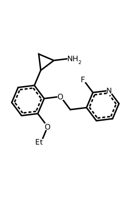 CCOc1cccc(C2CC2N)c1OCc1cccnc1F